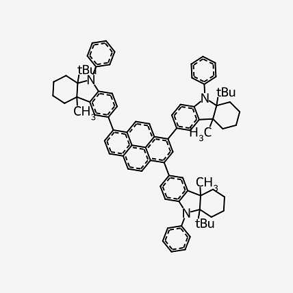 CC(C)(C)C12CCCCC1(C)c1cc(-c3ccc4ccc5c(-c6ccc7c(c6)C6(C)CCCCC6(C(C)(C)C)N7c6ccccc6)cc(-c6ccc7c(c6)C6(C)CCCCC6(C(C)(C)C)N7c6ccccc6)c6ccc3c4c56)ccc1N2c1ccccc1